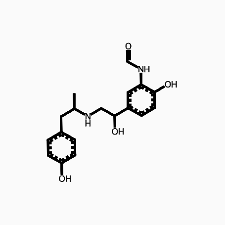 CC(Cc1ccc(O)cc1)NCC(O)c1ccc(O)c(NC=O)c1